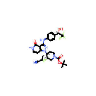 CC(C)(C)OC(=O)N1CC[C@](CCC#N)(n2nc(Nc3ccc([C@H](O)C(F)(F)F)cc3)c3c(=O)[nH]ccc32)[C@H](F)C1